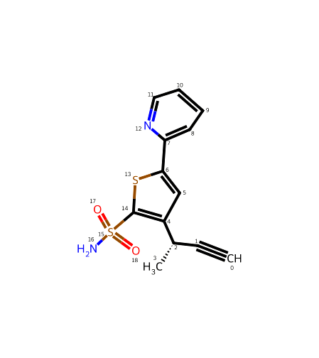 C#C[C@H](C)c1cc(-c2ccccn2)sc1S(N)(=O)=O